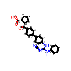 N#C/N=C(/Nc1ccccc1)Nc1ccc(-c2ccc(C(=O)[C@@H]3CCC[C@H]3C(=O)O)cc2)cc1